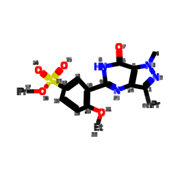 CCCc1nn(C)c2c(=O)[nH]c(-c3cc(S(=O)(=O)OC(C)C)ccc3OCC)nc12